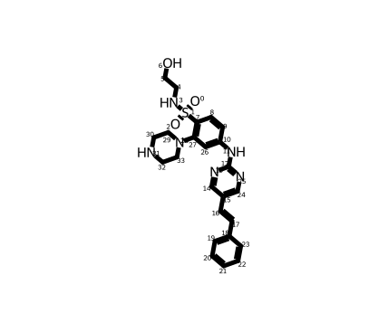 O=S(=O)(NCCO)c1ccc(Nc2ncc(/C=C/c3ccccc3)cn2)cc1N1CCNCC1